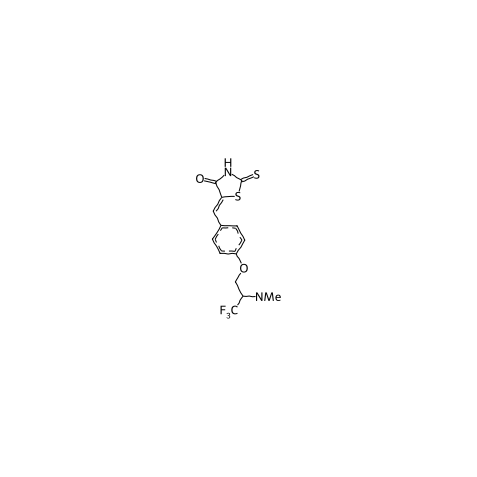 CNC(COc1ccc(/C=C2\SC(=S)NC2=O)cc1)C(F)(F)F